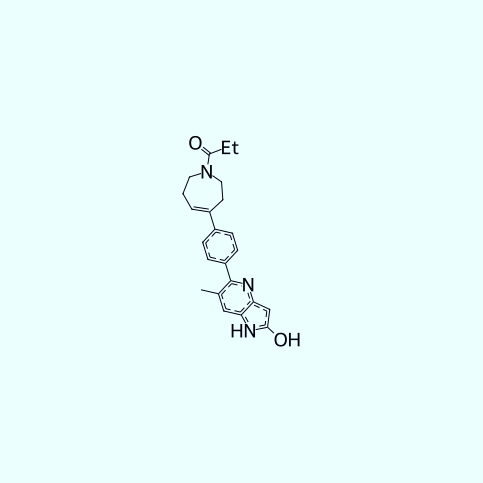 CCC(=O)N1CCC=C(c2ccc(-c3nc4cc(O)[nH]c4cc3C)cc2)CC1